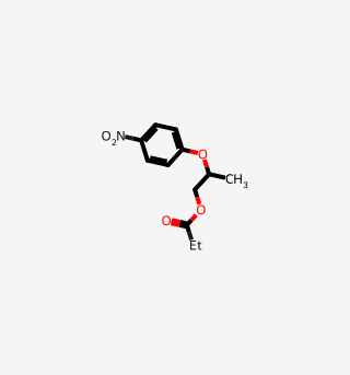 CCC(=O)OCC(C)Oc1ccc([N+](=O)[O-])cc1